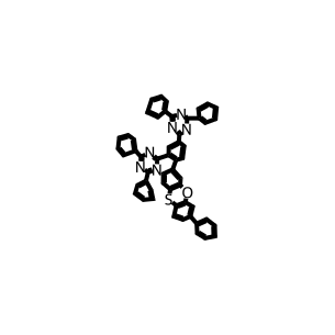 c1ccc(-c2ccc3c(c2)Oc2cc(-c4ccc(-c5nc(-c6ccccc6)nc(-c6ccccc6)n5)cc4-c4nc(-c5ccccc5)nc(-c5ccccc5)n4)ccc2S3)cc1